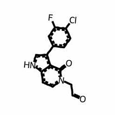 O=CCn1ccc2[nH]cc(-c3ccc(Cl)c(F)c3)c2c1=O